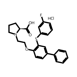 Cl.O=C(O)[C@@H]1CCCN1CCOc1ccc(-c2ccccc2)cc1Sc1cccc(F)c1